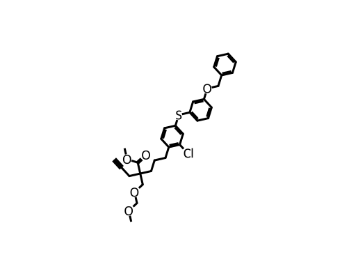 C#CCC(CCCc1ccc(Sc2cccc(OCc3ccccc3)c2)cc1Cl)(COCOC)C(=O)OC